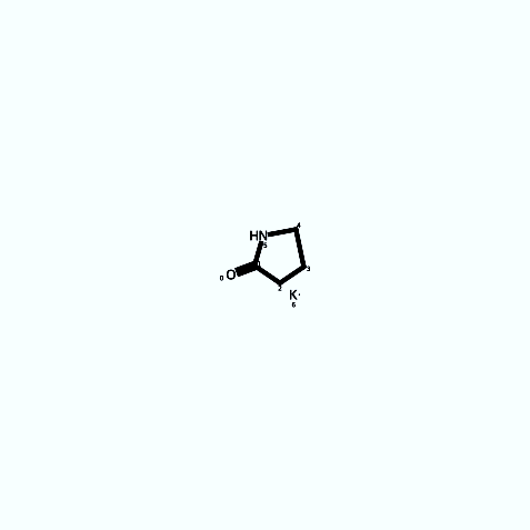 O=C1CCCN1.[K]